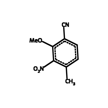 COc1c(C#N)ccc(C)c1[N+](=O)[O-]